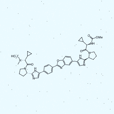 COC(=O)N[C@@H](C(=O)N1CCC[C@H]1c1ncc(-c2ccc3oc(-c4ccc(-c5cnc([C@@H]6CCCN6C(=O)[C@@H](C6CC6)N(C)C(=O)O)[nH]5)cc4)nc3c2)[nH]1)C1CC1